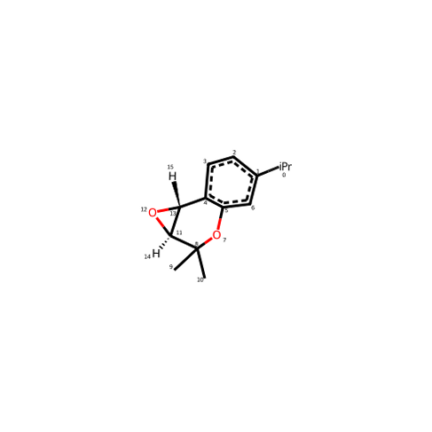 CC(C)c1ccc2c(c1)OC(C)(C)[C@H]1O[C@H]21